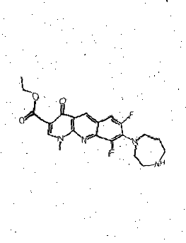 CCOC(=O)c1cn(C)c2nc3c(F)c(N4CCCNCC4)c(F)cc3cc2c1=O